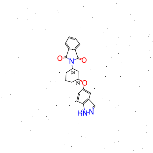 O=C1c2ccccc2C(=O)N1[C@H]1CCC[C@H](Oc2ccc3[nH]ncc3c2)C1